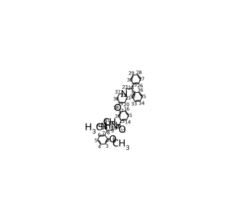 COc1ccccc1C(CNC(=O)c1cccc(OC2CCN(CC(c3ccccc3)c3ccccc3)CC2)c1)N(C)C